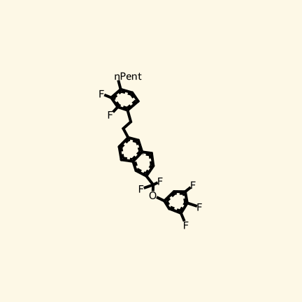 CCCCCc1ccc(CCc2ccc3cc(C(F)(F)Oc4cc(F)c(F)c(F)c4)ccc3c2)c(F)c1F